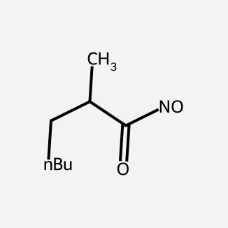 CCCCCC(C)C(=O)N=O